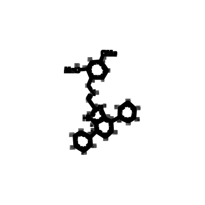 COc1ccc(C/N=C/c2nc3c(-c4ccccc4)ccc(-c4ccccc4)c3[nH]2)c(OC)c1